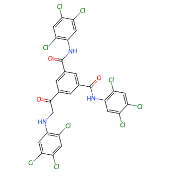 O=C(CNc1cc(Cl)c(Cl)cc1Cl)c1cc(C(=O)Nc2cc(Cl)c(Cl)cc2Cl)cc(C(=O)Nc2cc(Cl)c(Cl)cc2Cl)c1